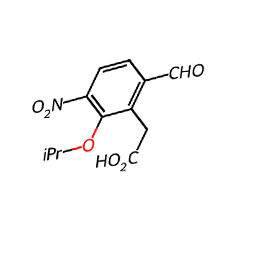 CC(C)Oc1c([N+](=O)[O-])ccc(C=O)c1CC(=O)O